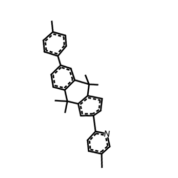 Cc1ccc(-c2ccc3c(c2)C(C)(C)c2ccc(-c4ccc(C)cn4)cc2C3(C)C)cc1